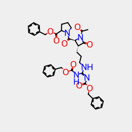 CC(=O)N1C(=O)[C@H](CCCNC(=NC(=O)OCc2ccccc2)NC(=O)OCc2ccccc2)[C@H]1C(=O)N1CCCC1C(=O)OCc1ccccc1